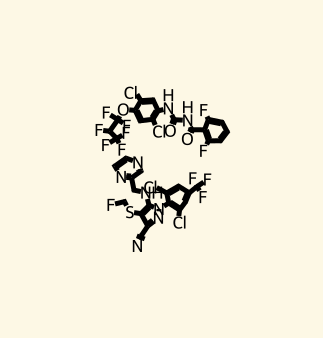 N#Cc1nn(-c2c(Cl)cc(C(F)(F)F)cc2Cl)c(NCc2cnccn2)c1SCF.O=C(NC(=O)c1c(F)cccc1F)Nc1cc(Cl)c(OC(F)(F)C(F)C(F)(F)F)cc1Cl